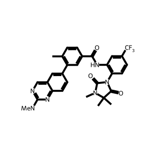 CNc1ncc2cc(-c3cc(C(=O)Nc4cc(C(F)(F)F)ccc4N4C(=O)N(C)C(C)(C)C4=O)ccc3C)ccc2n1